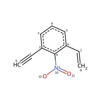 C#Cc1cccc([C]=C)c1[N+](=O)[O-]